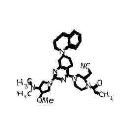 C=CC(=O)N1CCN(c2nc(N3CC(OC)C(N(C)C)C3)nc3c2CCC(N2CCCc4ccccc42)C3)CC1CC#N